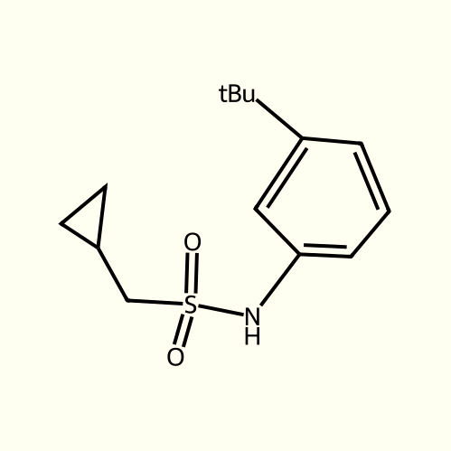 CC(C)(C)c1cccc(NS(=O)(=O)CC2CC2)c1